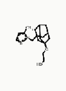 Cc1ccnn1CC12CC3CC(C1)CC(OCCO)(C3)C2